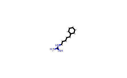 N=C(N)NCCCCCC1CCCCC1